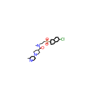 Cc1cc(N2CCC(C(=O)N(C)CCCS(=O)(=O)c3ccc4cc(Cl)ccc4c3)CC2)ccn1